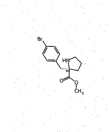 COC(=O)[C@]1(Cc2ccc(Br)cc2)CCCN1